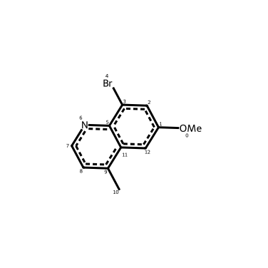 COc1cc(Br)c2nccc(C)c2c1